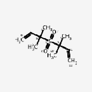 C=CC(C)(C)S(=O)(=O)C(C)(C)C=C